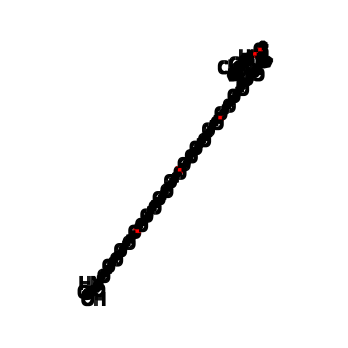 CC(C)(C)OC[C@H](Cc1ccc(NC(=O)c2c(Cl)cccc2Cl)cc1)NC(=O)C1(CCNC(=O)CCOCCOCCOCCOCCOCCOCCOCCOCCOCCOCCOCCOCCOCCOCCOCCOCCOCCOCCOCCOCCOCCOCCOCCOCCNC(=O)CCC(=O)O)CCCC1